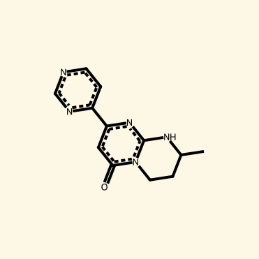 CC1CCn2c(nc(-c3ccncn3)cc2=O)N1